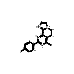 Cc1ccc(-c2nc(C)c3c(n2)-c2nccn2CC3)cc1